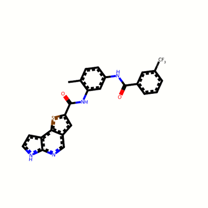 Cc1ccc(NC(=O)c2cccc(C(F)(F)F)c2)cc1NC(=O)c1cc2cnc3[nH]ccc3c2s1